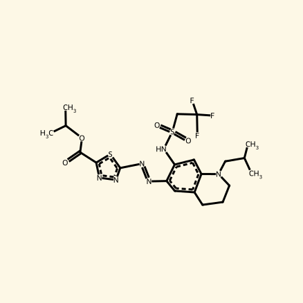 CC(C)CN1CCCc2cc(N=Nc3nnc(C(=O)OC(C)C)s3)c(NS(=O)(=O)CC(F)(F)F)cc21